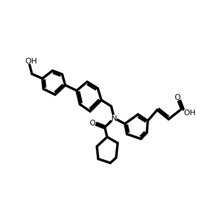 O=C(O)C=Cc1cccc(N(Cc2ccc(-c3ccc(CO)cc3)cc2)C(=O)C2CCCCC2)c1